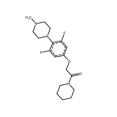 CN1CCN(c2c(F)cc(OCC(=O)N3CCCCC3)cc2F)CC1